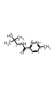 Cc1ccc(C(=O)NCC(C)(C)O)nn1